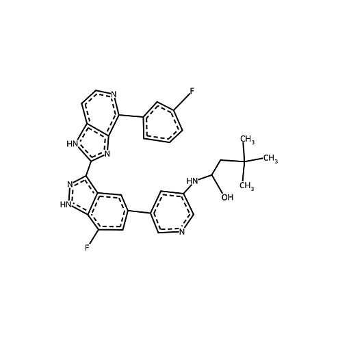 CC(C)(C)CC(O)Nc1cncc(-c2cc(F)c3[nH]nc(-c4nc5c(-c6cccc(F)c6)nccc5[nH]4)c3c2)c1